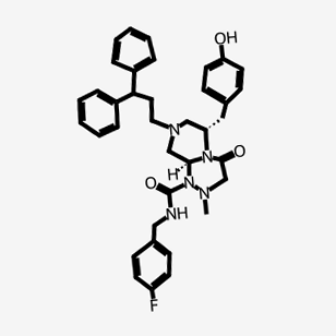 CN1CC(=O)N2[C@@H](Cc3ccc(O)cc3)CN(CCC(c3ccccc3)c3ccccc3)C[C@@H]2N1C(=O)NCc1ccc(F)cc1